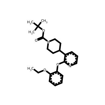 CCOc1ccccc1Oc1ncccc1C1CCN(C(=O)OC(C)(C)C)CC1